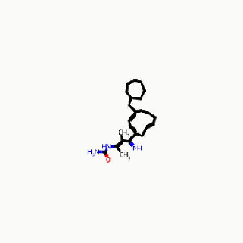 C/C(NC(N)=O)=C(/C)C(=N)/C1=C/C=C(/CC2CCCCCC2)CCC/C=C/C1